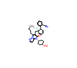 CCCCc1c(CC2(F)C=CC=CC2c2ccccc2C#N)c(=O)n([C@H]2CC[C@H](O)CC2)c2ccnn12